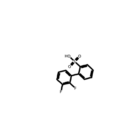 O=S(=O)(O)c1ccccc1-c1cccc(F)c1F